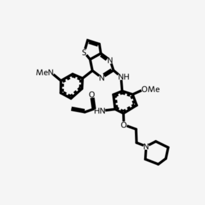 C=CC(=O)Nc1cc(NC2=NC(c3cccc(NC)c3)C3SC=CC3=N2)c(OC)cc1OCCN1CCCCC1